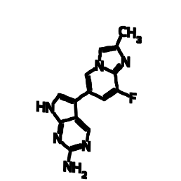 Cc1cn2cc(-c3c[nH]c4nc(N)ncc34)cc(F)c2n1